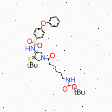 CC(C)(C)OC(=O)NCCCCCC(=O)N1C[C@H](NS(=O)(=O)c2ccc(Oc3ccccc3)cc2)[C@@H](SC(C)(C)C)C1